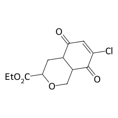 CCOC(=O)C1CC2C(=O)C=C(Cl)C(=O)C2CO1